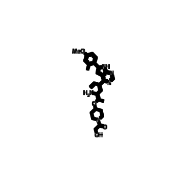 C=C/C(=C\C(N)=C(/C)OC1CCN(C(=O)CO)CC1)c1ncnc2[nH]c(-c3ccc(OC)cc3C)cc12